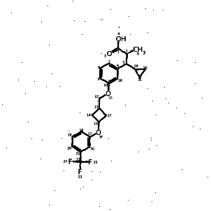 C[C@H](C(=O)O)C(c1cccc(OCC2CC(Oc3cccc(C(F)(F)F)c3)C2)c1)C1CC1